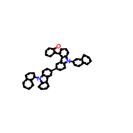 c1ccc2cc(-n3c4ccc(-c5ccc6c(c5)c5ccccc5n6-c5cccc6ccccc56)cc4c4c5c(ccc43)oc3ccccc35)ccc2c1